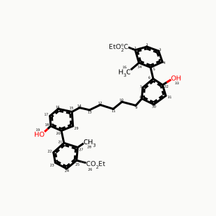 CCOC(=O)c1cccc(-c2cc(CCCCCCc3ccc(O)c(-c4cccc(C(=O)OCC)c4C)c3)ccc2O)c1C